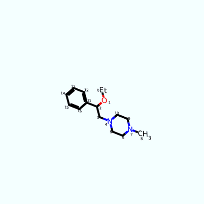 CCOC(CN1CCN(C)CC1)c1ccccc1